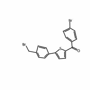 O=C(c1ccc(Br)cc1)c1ccc(-c2ccc(CBr)cc2)s1